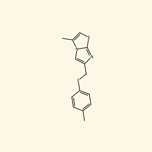 Cc1ccc(SCc2cn3c(C)csc3n2)cc1